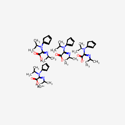 CC(C)N=C(C(=O)[O-])N(C1=CC=CC1)C(C)C.CC(C)N=C(C(=O)[O-])N(C1=CC=CC1)C(C)C.CC(C)N=C(C(=O)[O-])N(C1=CC=CC1)C(C)C.CC(C)N=C(C(=O)[O-])N(C1=CC=CC1)C(C)C.[Ru+4]